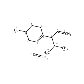 C=CC(C1=CCC(C)CC1)C(C)C.C=O